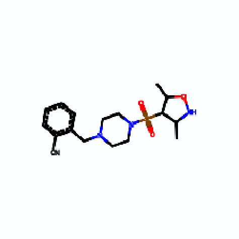 CC1NOC(C)C1S(=O)(=O)N1CCN(Cc2ccccc2C#N)CC1